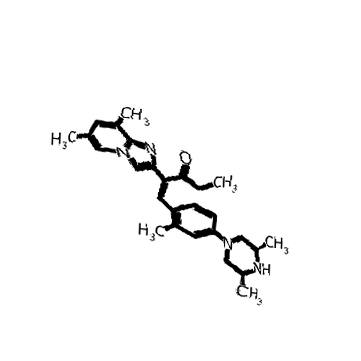 CCC(=O)/C(=C\c1ccc(N2C[C@@H](C)N[C@@H](C)C2)cc1C)c1cn2cc(C)cc(C)c2n1